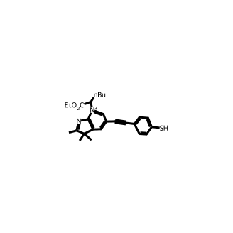 CCCCC(C(=O)OCC)[n+]1cc(C#Cc2ccc(S)cc2)cc2c1N=C(C)C2(C)C